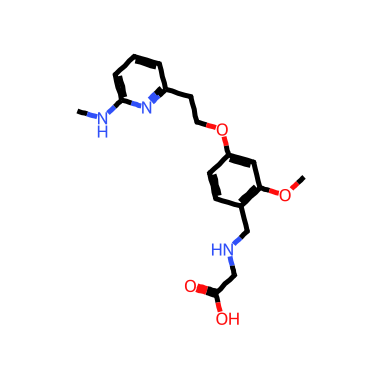 CNc1cccc(CCOc2ccc(CNCC(=O)O)c(OC)c2)n1